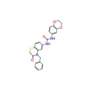 O=C(Nc1ccc2c(c1)OCCO2)Nc1ccc2c(c1)N(Cc1ccccc1)C(=O)CS2